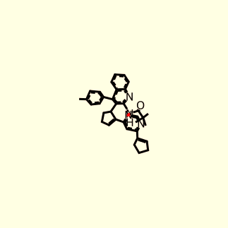 Cc1ccc(-c2c(C3CCC=C3c3cc(C4=CCCC4)ncn3)c(NC(=O)C(C)(C)C)nc3ccccc23)cc1